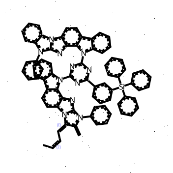 C=c1/c(=C\C=C/C)n2c3ccc4c5ccccc5n(-c5nc(-c6cccc([Si](c7ccccc7)(c7ccccc7)c7ccccc7)c6)nc(-n6c7ccccc7c7ccc8c(nc9n(-c%10ccccc%10)c%10ccccc%10n89)c76)n5)c4c3nc2n1-c1ccccc1